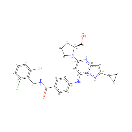 O=C(NCc1c(Cl)cccc1Cl)c1ccc(Nc2cc(N3CCC[C@H]3CO)nc3cc(C4CC4)nn23)cc1